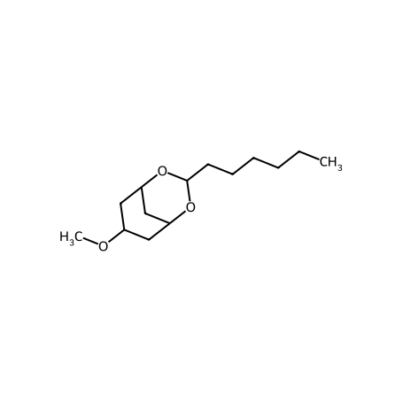 CCCCCCC1OC2CC(OC)CC(C2)O1